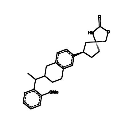 COc1ccccc1C(C)C1CCc2cc([C@@H]3CC[C@]4(COC(=O)N4)C3)ccc2C1